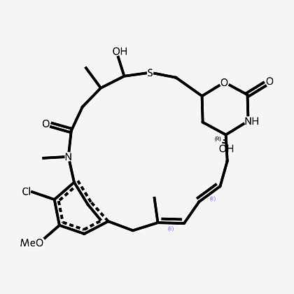 COc1cc2cc(c1Cl)N(C)C(=O)CC(C)C(O)SCC1C[C@](O)(C/C=C/C=C(\C)C2)NC(=O)O1